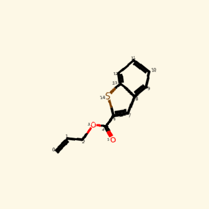 C=CCOC(=O)c1cc2ccccc2s1